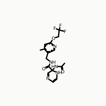 CC(=O)NC1(C(=O)NCc2cnc(OCC(F)(F)F)cc2C)C=NC=CN1